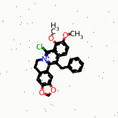 COc1ccc2c(Cc3ccccc3)c3[n+](c(Cl)c2c1OC)CCc1cc2c(cc1-3)OCO2